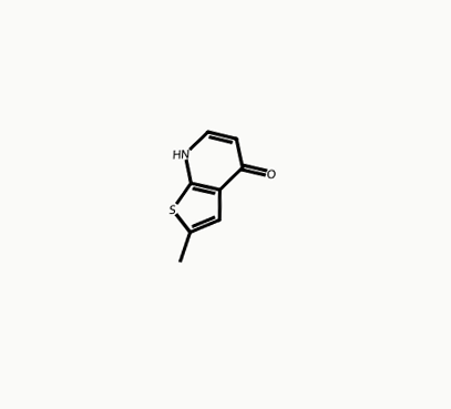 Cc1cc2c(=O)cc[nH]c2s1